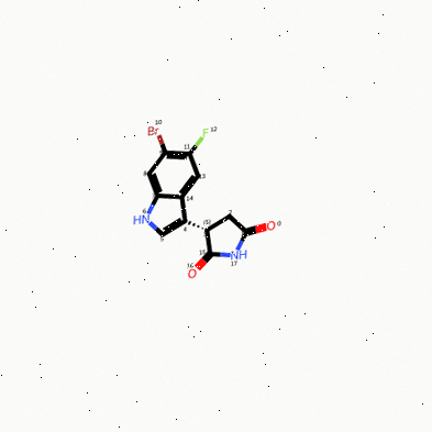 O=C1C[C@@H](c2c[nH]c3cc(Br)c(F)cc23)C(=O)N1